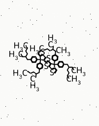 CCCCC(CC)Cc1ccc(C2(c3ccc(CC(CC)CCCC)cc3)c3ccsc3-c3sc4c5c(sc4c32)-c2sccc2C5(c2ccc(CC(CC)CCCC)cc2)c2ccc(C(C)C(CC)CCCC)cc2)cc1